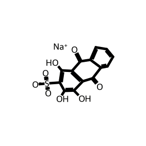 O=C1c2ccccc2C(=O)c2c(O)c(S(=O)(=O)[O-])c(O)c(O)c21.[Na+]